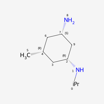 CC(C)N[C@@H]1C[C@H](C)C[C@H](N)C1